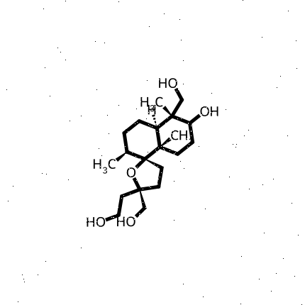 C[C@H]1CC[C@@H]2[C@](C)(CCC(O)[C@@]2(C)CO)[C@@]12CC[C@](CO)(CCO)O2